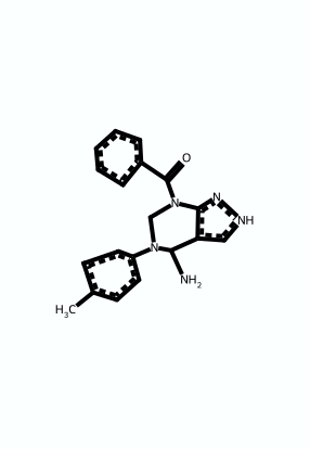 Cc1ccc(N2CN(C(=O)c3ccccc3)c3n[nH]cc3C2N)cc1